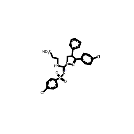 O=C(O)CCN/C(=N\S(=O)(=O)c1ccc(Cl)cc1)N1CC(c2ccccc2)C(c2ccc(Cl)cc2)=N1